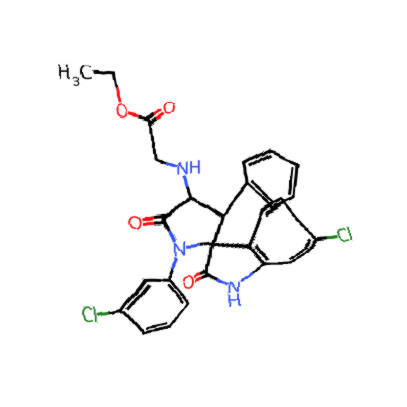 CCOC(=O)CNC1C(=O)N(c2cccc(Cl)c2)C2(C(=O)Nc3cc(Cl)ccc32)C1c1ccccc1